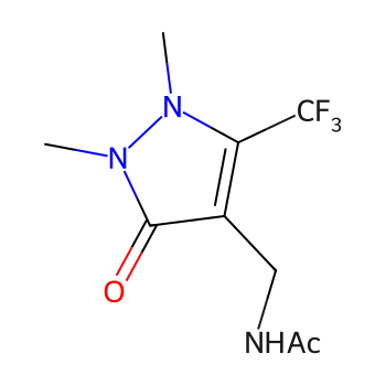 CC(=O)NCc1c(C(F)(F)F)n(C)n(C)c1=O